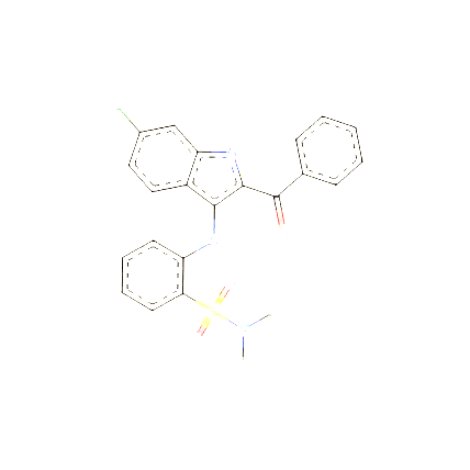 CCN(CC)S(=O)(=O)c1ccccc1Nc1c(C(=O)c2ccccc2)[nH]c2cc(Cl)ccc12